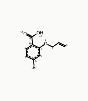 C=CCOc1cc(Br)ccc1C(=O)O